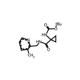 Cc1cccnc1CNC(=O)C1(NC(=O)OC(C)(C)C)CC1